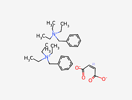 CC[N+](CC)(CC)Cc1ccccc1.CC[N+](CC)(CC)Cc1ccccc1.O=C([O-])/C=C\C(=O)[O-]